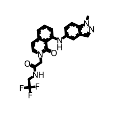 Cn1ncc2cc(Nc3cccc4ccn(CC(=O)NCC(F)(F)F)c(=O)c34)ccc21